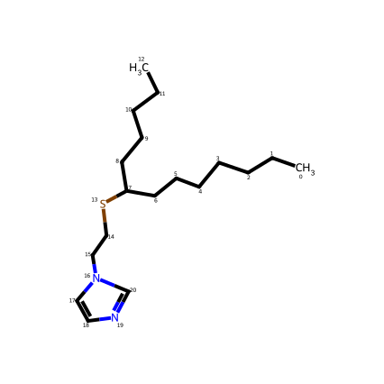 CCCCCCCC(CCCCC)SCCn1ccnc1